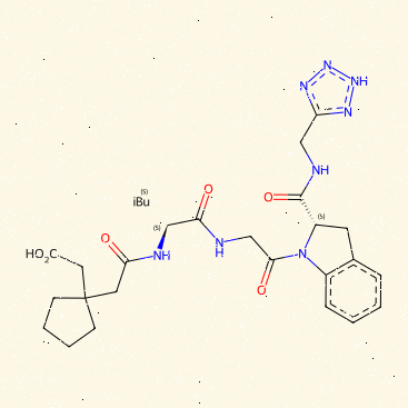 CC[C@H](C)[C@H](NC(=O)CC1(CC(=O)O)CCCC1)C(=O)NCC(=O)N1c2ccccc2C[C@H]1C(=O)NCc1nn[nH]n1